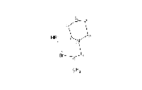 Br.CC(Br)CN1CCOCC1